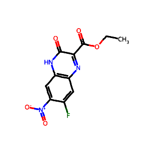 CCOC(=O)c1nc2cc(F)c([N+](=O)[O-])cc2[nH]c1=O